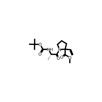 C=CC1(C(=O)OC)CCCN1C(=O)[C@H](C)NC(=O)OC(C)(C)C